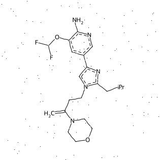 C=C(CCn1cc(-c2cnc(N)c(OC(F)F)c2)nc1CC(C)C)N1CCOCC1